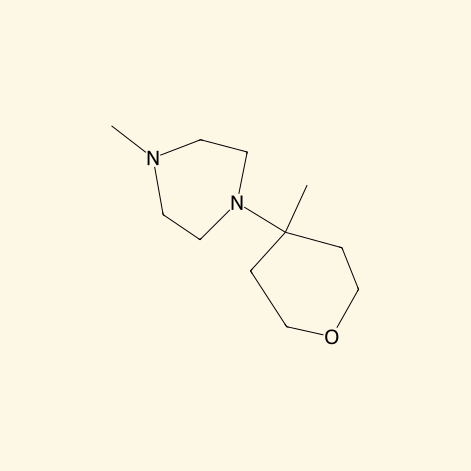 CN1CCN(C2(C)CCOCC2)CC1